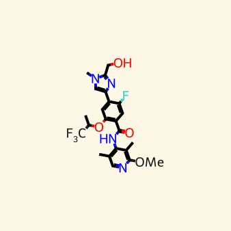 COc1ncc(C)c(NC(=O)c2cc(F)c(-c3cn(C)c(CO)n3)cc2OC(C)C(F)(F)F)c1C